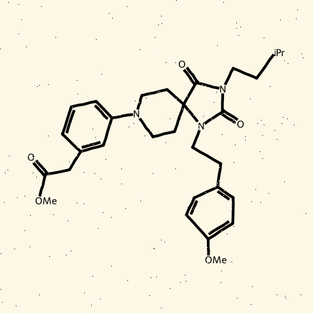 COC(=O)Cc1cccc(N2CCC3(CC2)C(=O)N(CCC(C)C)C(=O)N3CCc2ccc(OC)cc2)c1